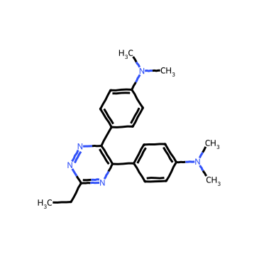 CCc1nnc(-c2ccc(N(C)C)cc2)c(-c2ccc(N(C)C)cc2)n1